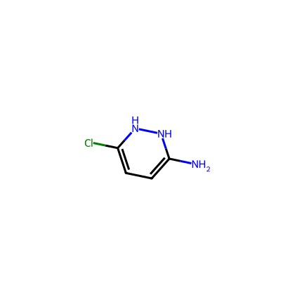 NC1=CC=C(Cl)NN1